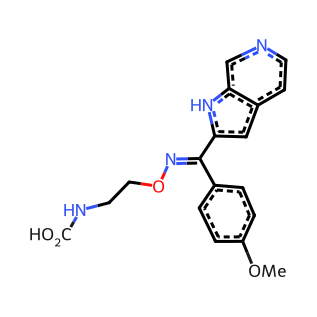 COc1ccc(/C(=N\OCCNC(=O)O)c2cc3ccncc3[nH]2)cc1